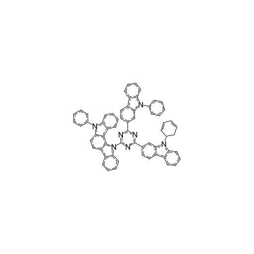 C1=CCC(n2c3ccccc3c3ccc(-c4nc(-c5ccc6c7ccccc7n(-c7ccccc7)c6c5)nc(-n5c6ccccc6c6ccc7c(c8ccccc8n7-c7ccccc7)c65)n4)cc32)C=C1